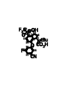 CC(C)(C)N(C(=O)O)[C@H]1C[C@@H](O)c2c(S(=O)(=O)C(F)(F)F)ccc(Oc3cc(F)cc(C#N)c3)c21